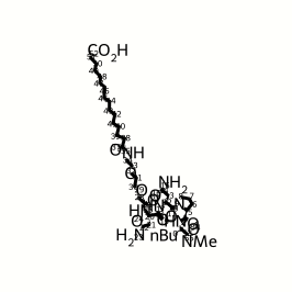 CCCC[C@H](NC(=O)[C@@H]1CCCN1C(=O)[C@H](CC(N)=O)NC(=O)[C@H](CC(N)=O)NC(=O)COCCOCCNC(=O)CCCCCCCCCCCCCCC(=O)O)C(=O)NC